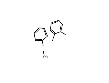 CO.Cc1ccccc1.Cc1ccccc1C